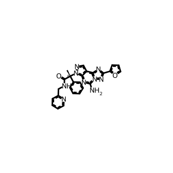 C[C@](C(=O)NCc1ccccn1)(c1ccccc1)n1ncc2c1nc(N)n1nc(-c3ccco3)nc21